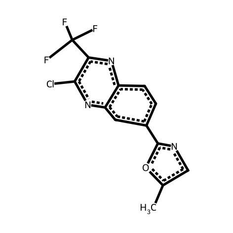 Cc1cnc(-c2ccc3nc(C(F)(F)F)c(Cl)nc3c2)o1